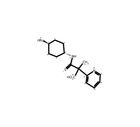 CCCC[C@H]1CC[C@H](NC(=S)C(C)(C(=O)O)c2ccccn2)CC1